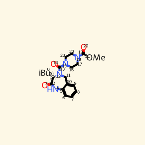 CC[C@H](C)[C@H]1C(=O)Nc2ccccc2CN1C(=O)N1CCN(C(=O)OC)CC1